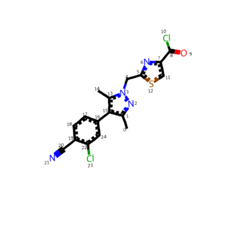 Cc1nn(Cc2nc(C(=O)Cl)cs2)c(C)c1-c1ccc(C#N)c(Cl)c1